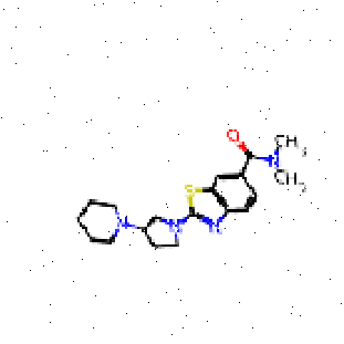 CN(C)C(=O)c1ccc2nc(N3CC[C@@H](N4CCCCC4)C3)sc2c1